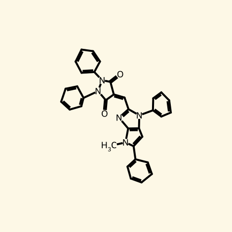 Cn1c(-c2ccccc2)cc2c1nc(C=C1C(=O)N(c3ccccc3)N(c3ccccc3)C1=O)n2-c1ccccc1